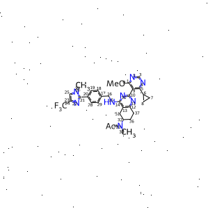 COc1ncnc(C2CC2)c1-c1nc2c(c(NCc3ccc(-c4nc(C(F)(F)F)cn4C)cc3)n1)CC(N(C)C(C)=O)CC2